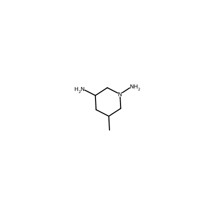 CC1CC(N)CN(N)C1